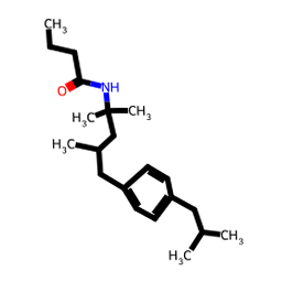 CCCC(=O)NC(C)(C)CC(C)Cc1ccc(CC(C)C)cc1